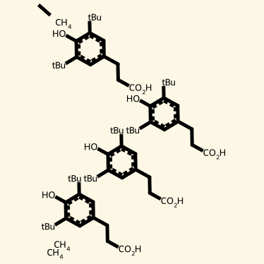 C.C.C.CC.CC(C)(C)c1cc(CCC(=O)O)cc(C(C)(C)C)c1O.CC(C)(C)c1cc(CCC(=O)O)cc(C(C)(C)C)c1O.CC(C)(C)c1cc(CCC(=O)O)cc(C(C)(C)C)c1O.CC(C)(C)c1cc(CCC(=O)O)cc(C(C)(C)C)c1O